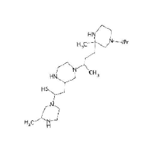 CC1CN(C(S)CC2CN(C(C)CCC3(C)CN(C(C)C)CCN3)CCN2)CCN1